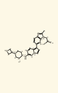 Cc1nc2ccc(-c3ccn4nc(N[C@H]5CCN(C6COC6)C[C@H]5C)ncc34)nc2n1CC(F)F